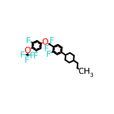 CCCC1CCC(c2ccc(C(F)(F)Oc3cc(F)c(OC(F)(F)F)c(F)c3)c(F)c2)CC1